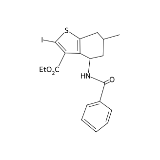 CCOC(=O)c1c(I)sc2c1C(NC(=O)c1ccccc1)CC(C)C2